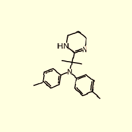 Cc1ccc(N(c2ccc(C)cc2)C(C)(C)C2=NCCCN2)cc1